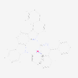 C1=CC2C=Cc3c(c4ccc5c(c4n3-c3nc(-c4ccccc4)c4ccccc4n3)N(c3ccccc3)C3C=CC=CC53)C2C=C1